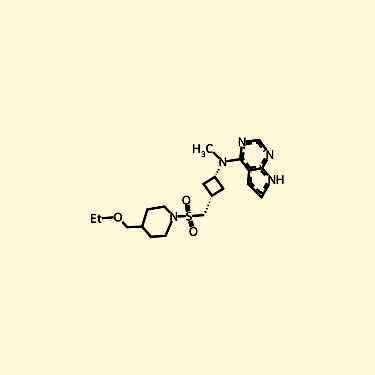 CCOCC1CCN(S(=O)(=O)C[C@H]2C[C@@H](N(C)c3ncnc4[nH]ccc34)C2)CC1